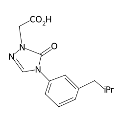 CC(C)Cc1cccc(-n2cnn(CC(=O)O)c2=O)c1